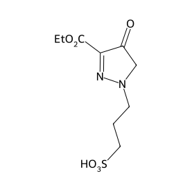 CCOC(=O)C1=NN(CCCS(=O)(=O)O)CC1=O